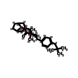 CC(C)(C)Cc1ccc(CCCCN2CC3CCC(C2)N3CC(=O)C(C)(C)C)cc1